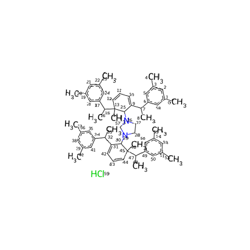 Cc1cc(C)cc(C(C)C2=CC=CC(C)(C(C)c3cc(C)cc(C)c3)C2N2CCN(C3C(C(C)c4cc(C)cc(C)c4)=CC=CC3(C)C(C)c3cc(C)cc(C)c3)C2)c1.Cl